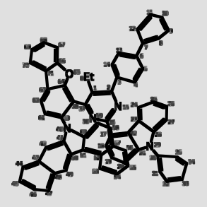 CCc1c(-c2ccc(-c3ccccc3)cc2)nc(-c2cccc3c2c2ccccc2n3-c2ccccc2)nc1-c1c(-n2c3cc4ccccc4cc3c3c4ccccc4ccc32)ccc2c1oc1ccccc12